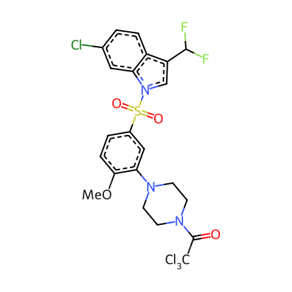 COc1ccc(S(=O)(=O)n2cc(C(F)F)c3ccc(Cl)cc32)cc1N1CCN(C(=O)C(Cl)(Cl)Cl)CC1